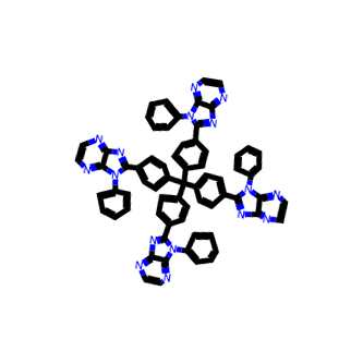 c1ccc(-n2c(-c3ccc(C(c4ccc(-c5nc6nccnc6n5-c5ccccc5)cc4)(c4ccc(-c5nc6nccnc6n5-c5ccccc5)cc4)c4ccc(-c5nc6nccnc6n5-c5ccccc5)cc4)cc3)nc3nccnc32)cc1